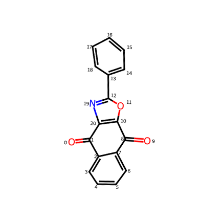 O=C1c2ccccc2C(=O)c2oc(-c3ccccc3)nc21